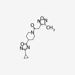 Cc1nonc1CC(=O)N1CCC(c2nc(C3CC3)no2)CC1